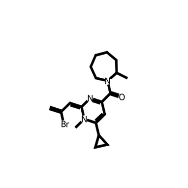 C=C(Br)/C=C1/N=C(C(=O)N2CCCCCC2C)C=C(C2CC2)N1C